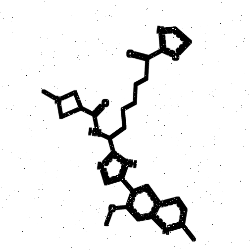 COc1cc2nc(C)ccc2cc1-c1cnc(C(CCCCCC(=O)c2ncco2)NC(=O)C2CN(C)C2)[nH]1